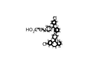 Clc1ccc2c(c1)CCc1cccnc1C2=C1CCNCC1.O=C(O)COCCN1CCN(C(c2ccccc2)c2ccc(Cl)cc2)CC1